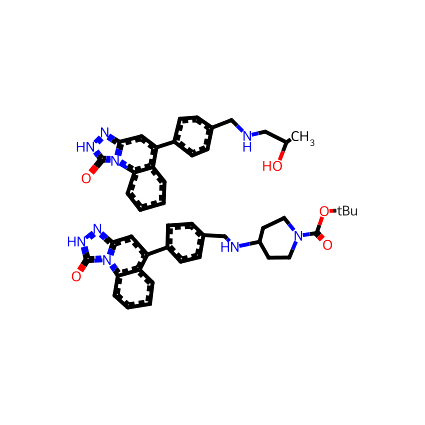 CC(C)(C)OC(=O)N1CCC(NCc2ccc(-c3cc4n[nH]c(=O)n4c4ccccc34)cc2)CC1.CC(O)CNCc1ccc(-c2cc3n[nH]c(=O)n3c3ccccc23)cc1